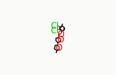 Cc1ccc(OC[C@@H]2CCC([C@@H]3CCC(C)CO3)CO2)c(Cl)c1Cl